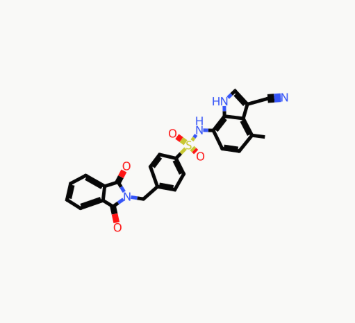 Cc1ccc(NS(=O)(=O)c2ccc(CN3C(=O)c4ccccc4C3=O)cc2)c2[nH]cc(C#N)c12